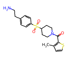 Cc1ccsc1C(=O)N1CCC(S(=O)(=O)c2ccc(CCN)cc2)CC1